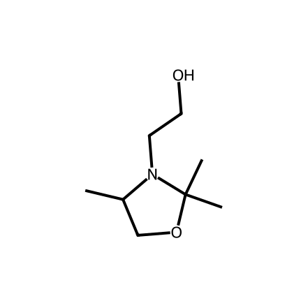 CC1COC(C)(C)N1CCO